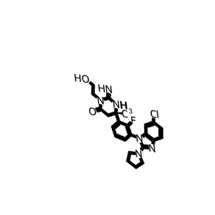 C[C@@]1(c2cccc(-n3c(N4CCCC4)nc4ccc(Cl)cc43)c2F)CC(=O)N(CCO)C(=N)N1